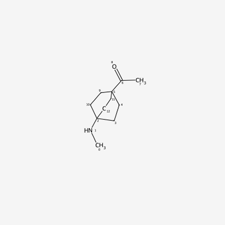 CNC12CCC(C(C)=O)(CC1)CC2